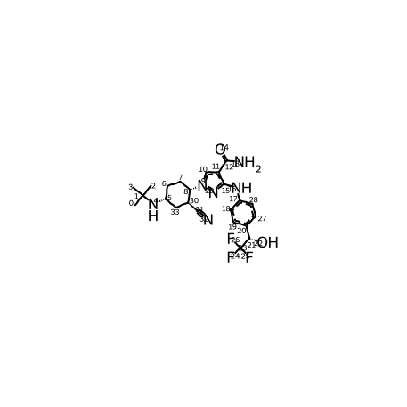 CC(C)(C)N[C@@H]1CC[C@H](n2cc(C(N)=O)c(Nc3ccc([C@H](O)C(F)(F)F)cc3)n2)[C@@H](C#N)C1